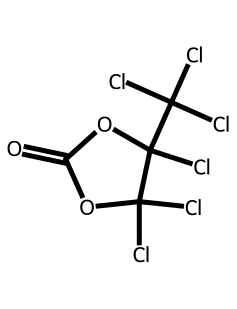 O=C1OC(Cl)(Cl)C(Cl)(C(Cl)(Cl)Cl)O1